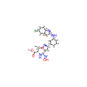 COC(=O)[C@@H](N/C(=N\O)c1cc(-c2cccc(Nc3nc4ccc(F)cc4s3)c2)no1)C(C)C